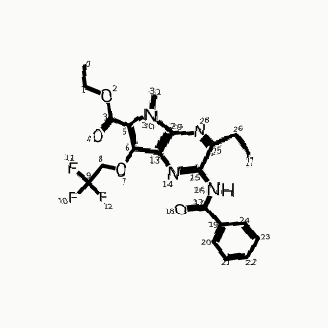 CCOC(=O)c1c(OCC(F)(F)F)c2nc(NC(=O)c3ccccc3)c(CC)nc2n1C